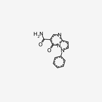 NC(=O)c1cnc2ccn(-c3ccccc3)n2c1=O